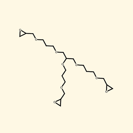 C(COCC(COCCCOCC1CO1)OCCCOCC1CO1)COCC1CO1